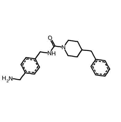 NCc1ccc(CNC(=O)N2CCC(Cc3ccccc3)CC2)cc1